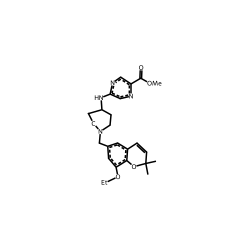 CCOc1cc(CN2CCC(Nc3cnc(C(=O)OC)cn3)CC2)cc2c1OC(C)(C)C=C2